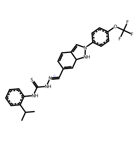 CC(C)c1ccccc1NC(=S)N/N=C/C1=CC2NN(c3ccc(OC(F)(F)F)cc3)C=C2C=C1